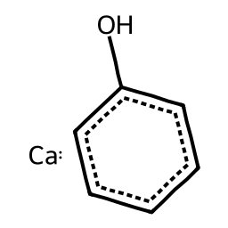 Oc1ccccc1.[Ca]